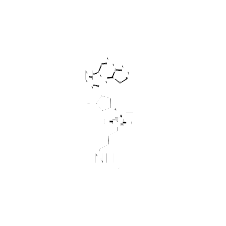 C[C@@H]1C[C@H](NS(=O)(=O)CCCCN)C[C@@H]1c1nnc2cnc3[nH]ccc3n12